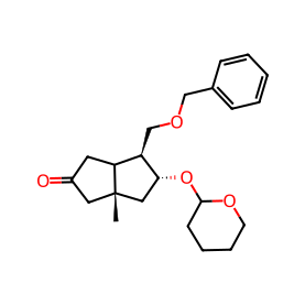 C[C@@]12CC(=O)CC1[C@@H](COCc1ccccc1)[C@H](OC1CCCCO1)C2